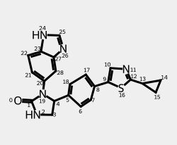 O=C1NCC(c2ccc(-c3cnc(C4CC4)s3)cc2)N1c1ccc2[nH]cnc2c1